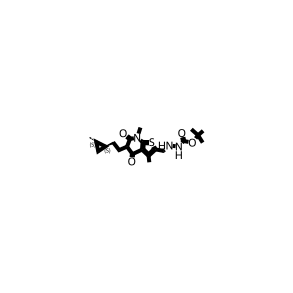 Cc1c(CNNC(=O)OC(C)(C)C)sc2c1C(=O)C(CC[C@H]1C[C@@H]1C)C(=O)N2C